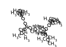 CCCCCCc1cc(-c2ccc(N(c3ccc(-c4ccc(B5OC(C)(C)C(C)(C)O5)cc4)cc3)c3ccc(-c4c(C)cc(C)cc4C)cc3)cc2C)c(CCCCCC)cc1C1=CC(C)C(N(c2ccc(-c3ccc(B4OC(C)(C)C(C)(C)O4)cc3)cc2)c2ccc(-c3c(C)cc(C)cc3C)cc2)C=C1C